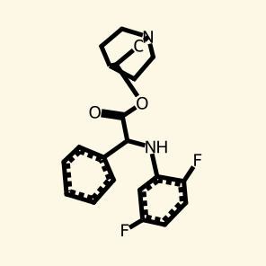 O=C(OC1CN2CCC1CC2)C(Nc1cc(F)ccc1F)c1ccccc1